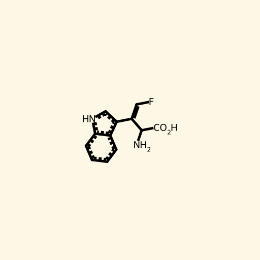 NC(C(=O)O)C(=CF)c1c[nH]c2ccccc12